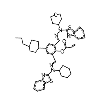 C=CC(=O)Oc1c(/C=N/N(c2nc3ccccc3s2)C2CCCCC2)cc(C2CCC(CCC)CC2)cc1/C=N/N(c1nc2ccccc2s1)C1CCCCC1